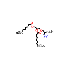 CCCCCCCCCCCCCCCC(=O)OCC(COCC(C[N+](C)(C)C)C(=O)O)OC(=O)CCCCCCCCCCCCCCC